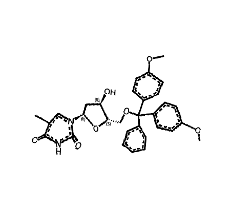 COc1ccc(C(OC[C@@H]2O[C@@H](n3cc(C)c(=O)[nH]c3=O)C[C@H]2O)(c2ccccc2)c2ccc(OC)cc2)cc1